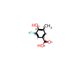 Cc1cc(C(=O)O)cc(F)c1O